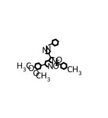 COc1ccc(-c2cnc3c(c2)c(-c2cnn(Cc4ccccc4)c2)cn3S(=O)(=O)c2ccc(C)cc2)cc1OC